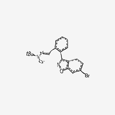 CC(C)(C)[S@+]([O-])/N=C/c1ccccc1-c1noc2cc(Br)ccc12